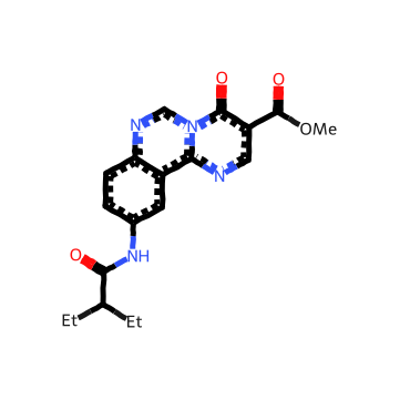 CCC(CC)C(=O)Nc1ccc2ncn3c(=O)c(C(=O)OC)cnc3c2c1